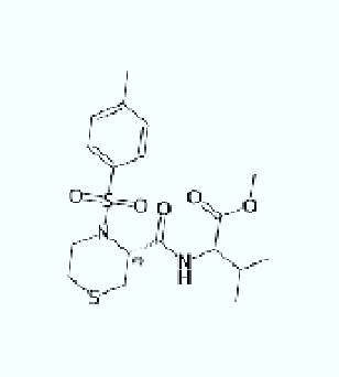 COC(=O)C(NC(=O)[C@@H]1CSCCN1S(=O)(=O)c1ccc(C)cc1)C(C)C